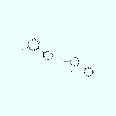 Cc1cccc(-c2nc(CSc3nnc(-c4ccco4)n3C)no2)c1